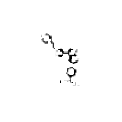 CN(C)[C@H]1CC[C@H](c2cnc3[nH]cc(-c4cnn(CCN5CCOCC5)c4)c3c2)CC1